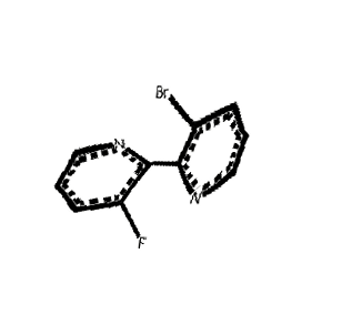 Fc1cccnc1-c1ncccc1Br